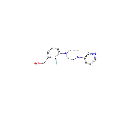 OCc1cccc(N2CCN(c3cccnc3)CC2)c1F